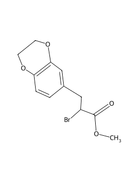 COC(=O)C(Br)Cc1ccc2c(c1)OCCO2